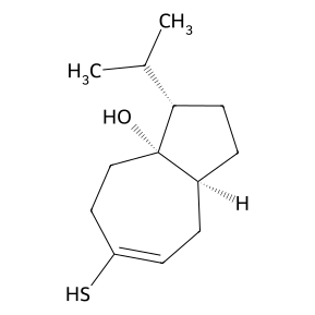 CC(C)[C@@H]1CC[C@H]2CC=C(S)CC[C@]21O